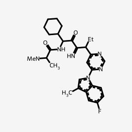 CCC(C(=N)C(=O)C(NC(=O)C(C)NC)C1CCCCC1)c1cc(-n2cc(C)c3cc(F)ccc32)ncn1